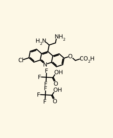 NCC(N)c1c2ccc(Cl)cc2nc2ccc(OCC(=O)O)cc12.O=C(O)C(F)(F)F.O=C(O)C(F)(F)F